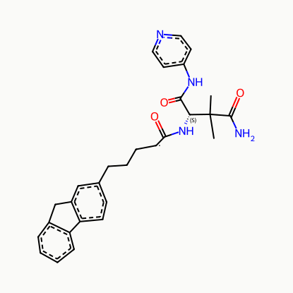 CC(C)(C(N)=O)[C@H](NC(=O)[CH]CCCc1ccc2c(c1)Cc1ccccc1-2)C(=O)Nc1ccncc1